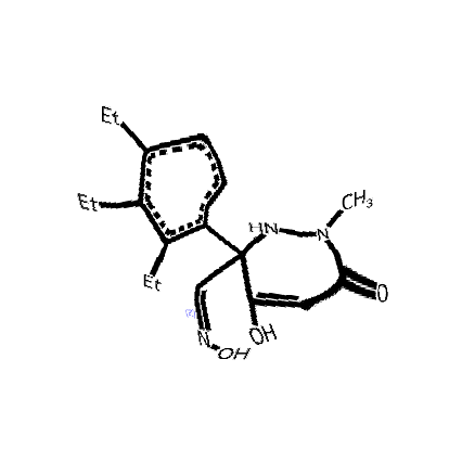 CCc1ccc(C2(/C=N\O)NN(C)C(=O)C=C2O)c(CC)c1CC